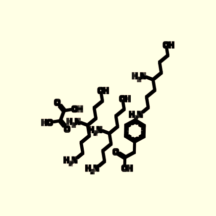 NCCCC(N)CCCO.NCCCC(N)CCCO.NCCCC(N)CCCO.O=C(O)C(=O)O.O=C(O)Cc1ccccc1